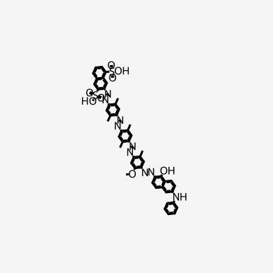 COc1cc(N=Nc2cc(C)c(N=Nc3cc(C)c(N=Nc4cc5c(S(=O)(=O)O)cccc5cc4S(=O)(=O)O)cc3C)cc2C)c(C)cc1N=Nc1ccc2cc(Nc3ccccc3)ccc2c1O